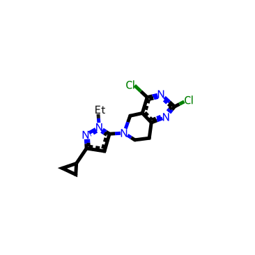 CCn1nc(C2CC2)cc1N1CCc2nc(Cl)nc(Cl)c2C1